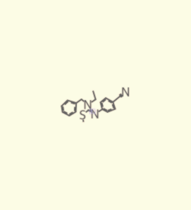 CCN(Cc1ccccc1)/C(=N\c1ccc(C#N)cc1)SC